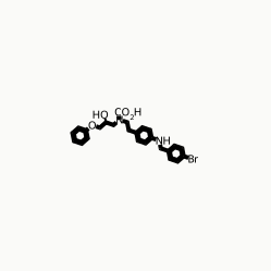 O=C(O)N(CCc1ccc(NCc2ccc(Br)cc2)cc1)C[C@H](O)COc1ccccc1